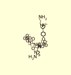 COP(=O)(O)C(COc1ccc(-c2cn(CCCN)[n+](C)c2)cc1)O/N=C(\C(=O)N[C@@H]1C(=O)N(OS(=O)(=O)[O-])C1(C)C)c1csc(N)n1